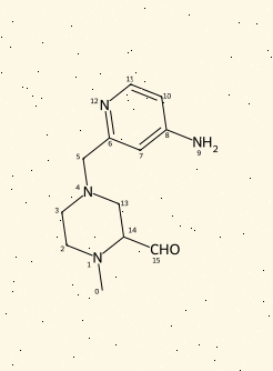 CN1CCN(Cc2cc(N)ccn2)CC1C=O